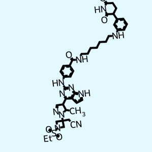 CCS(=O)(=O)N1CC(CC#N)(N2N=CC(c3nc(Nc4ccc(C(=O)NCCCCCCCNc5cccc(C6CCC(=O)NC6=O)c5)cc4)nc4[nH]ccc34)C2C)C1